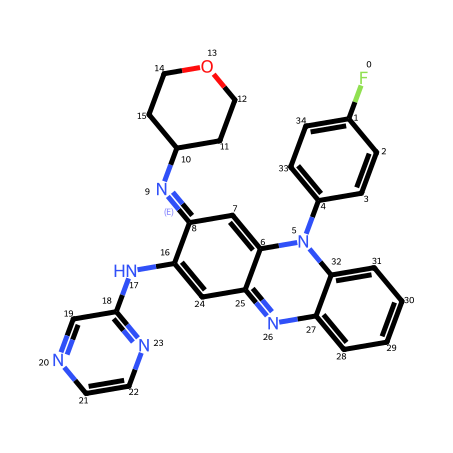 Fc1ccc(-n2c3c/c(=N\C4CCOCC4)c(Nc4cnccn4)cc-3nc3ccccc32)cc1